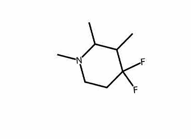 CC1C(C)C(F)(F)CCN1C